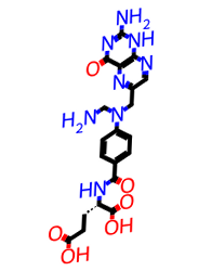 NCN(Cc1cnc2[nH]c(N)nc(=O)c2n1)c1ccc(C(=O)N[C@@H](CCC(=O)O)C(=O)O)cc1